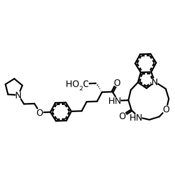 O=C(O)C[C@@H](CCCc1ccc(OCCN2CCCC2)cc1)C(=O)NC1Cc2cn(c3ccccc23)CCOCCNC1=O